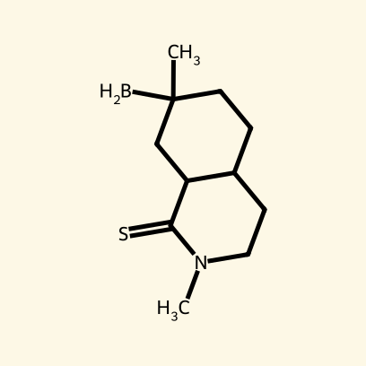 BC1(C)CCC2CCN(C)C(=S)C2C1